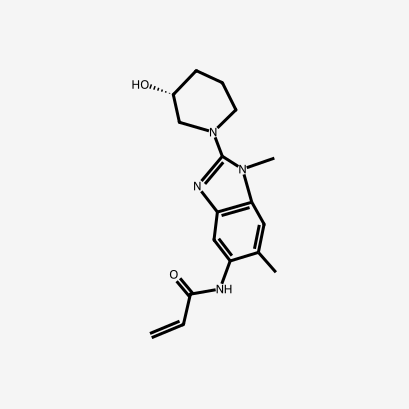 C=CC(=O)Nc1cc2nc(N3CCC[C@@H](O)C3)n(C)c2cc1C